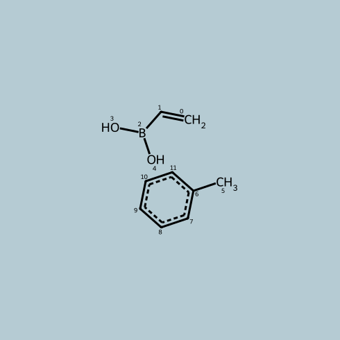 C=CB(O)O.Cc1ccccc1